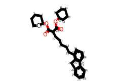 O=C(OC1CCCCC1)C(CCCCCc1cccc2c1Cc1ccccc1-2)C(=O)OC1CCCCC1